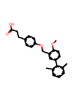 COc1ccc(-c2c(C)cccc2C)cc1COc1ccc(CCC(=O)O)cc1